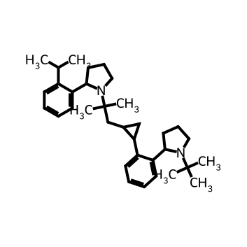 CC(C)c1ccccc1C1CCCN1C(C)(C)CC1CC1c1ccccc1C1CCCN1C(C)(C)C